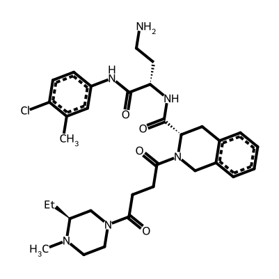 CC[C@H]1CN(C(=O)CCC(=O)N2Cc3ccccc3C[C@H]2C(=O)N[C@@H](CCN)C(=O)Nc2ccc(Cl)c(C)c2)CCN1C